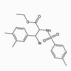 CCOC(=O)C(NS(=O)(=O)c1ccc(C)cc1)C(Br)c1ccc(C)c(C)c1